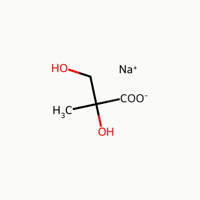 CC(O)(CO)C(=O)[O-].[Na+]